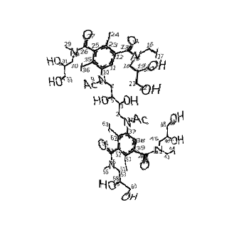 CC(=O)N(CC(O)C(O)CN(C(C)=O)c1cc(C(=O)N(CI)CC(O)CO)c(I)c(C(=O)N(C)CC(O)CO)c1I)c1cc(C(=O)N(CI)CC(O)CO)c(I)c(C(=O)N(C)CC(O)CO)c1I